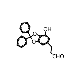 O=CCCc1cc(O)c2c(c1)OC(c1ccccc1)(c1ccccc1)O2